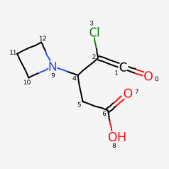 O=C=C(Cl)C(CC(=O)O)N1CCC1